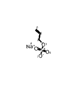 C=CCOS(=O)(=O)[O-].[Na+]